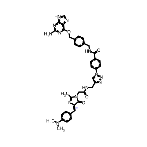 CC1=N/C(=C\c2ccc(N(C)C)cc2)C(=O)N1CC(=O)NCc1cn(-c2ccc(C(=O)NCc3ccc(COc4nc(N)nc5[nH]cnc45)cc3)cc2)nn1